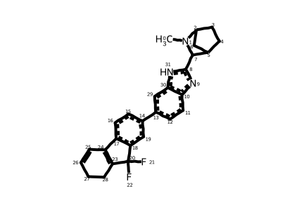 CN1C2CCC(C2)C1c1nc2ccc(-c3ccc4c(c3)C(F)(F)C3=C4C=CCC3)cc2[nH]1